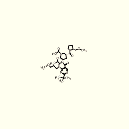 COCCCNc1nc(C(C)(C)C)ncc1C(=O)N(CC(C)C)[C@H]1C[C@@H](C(=O)N2CCC[C@H]2COC)CN(C(=O)O)C1